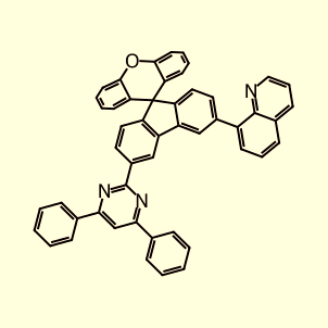 c1ccc(-c2cc(-c3ccccc3)nc(-c3ccc4c(c3)-c3cc(-c5cccc6cccnc56)ccc3C43c4ccccc4Oc4ccccc43)n2)cc1